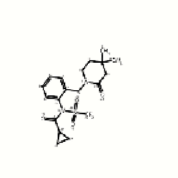 CC1(C)CCN(Cc2ccccc2N(C(=O)C2CC2)S(=O)(=O)C(F)(F)F)C(=O)C1